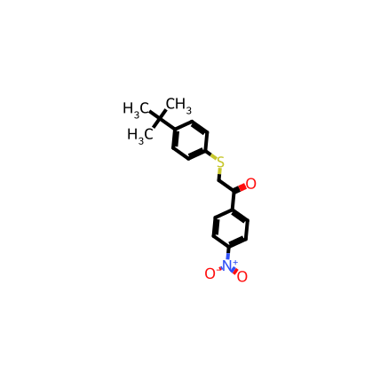 CC(C)(C)c1ccc(SCC(=O)c2ccc([N+](=O)[O-])cc2)cc1